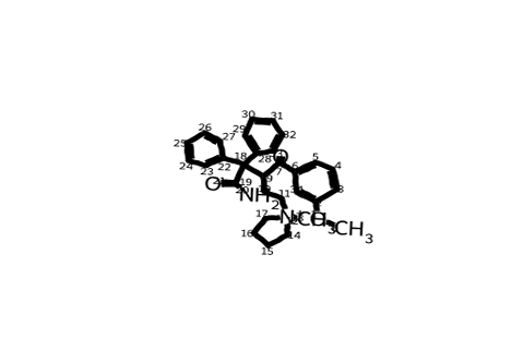 COc1cccc(C(=O)C(CC[N+]2(C)CCCC2)C(C(N)=O)(c2ccccc2)c2ccccc2)c1